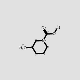 CCOC(=O)N1CCC[C@@H](C)C1